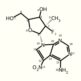 C[C@@]1(F)C(O)C(CO)O[C@H]1n1cc([N+](=O)[O-])c2c(N)ncnc21